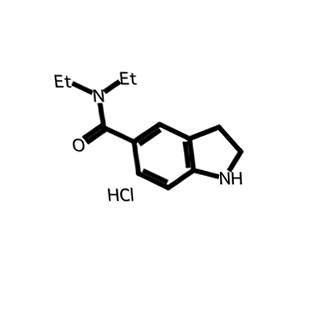 CCN(CC)C(=O)c1ccc2c(c1)CCN2.Cl